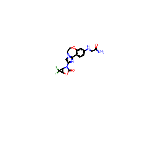 NC(=O)CNc1ccc2c(c1)OCCn1cc(N3C(=O)OC4C3C4(F)F)nc1-2